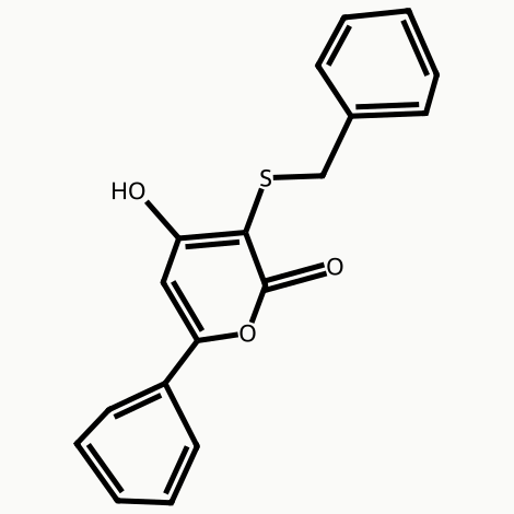 O=c1oc(-c2ccccc2)cc(O)c1SCc1ccccc1